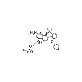 Nc1nc(NCCOC(=O)C(F)(F)F)c2ccc(-c3c(Oc4ccccc4)cccc3C(F)(F)F)nc2n1